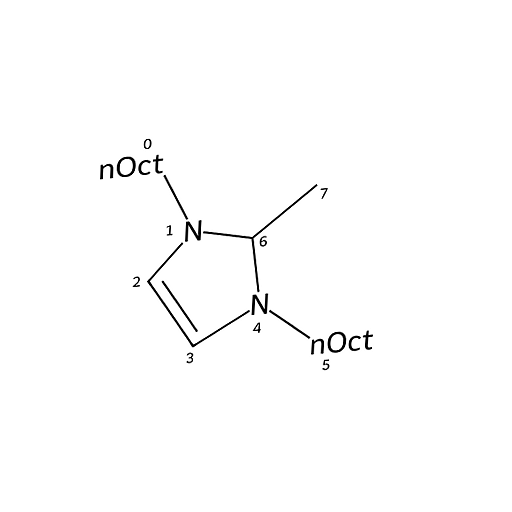 CCCCCCCCN1C=CN(CCCCCCCC)C1C